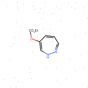 CCOC(=O)OC1=CNN=CC=C1